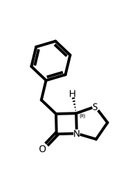 O=C1C(Cc2ccccc2)[C@H]2SCCN12